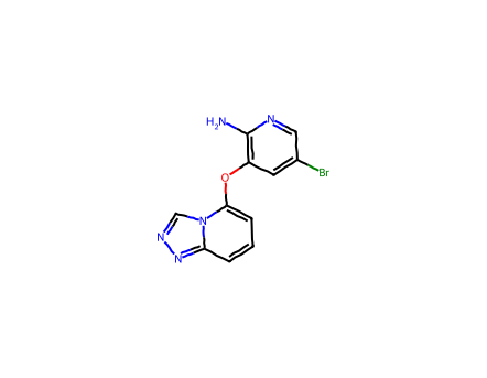 Nc1ncc(Br)cc1Oc1cccc2nncn12